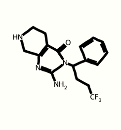 Nc1nc2c(c(=O)n1C(CCC(F)(F)F)c1ccccc1)CCNC2